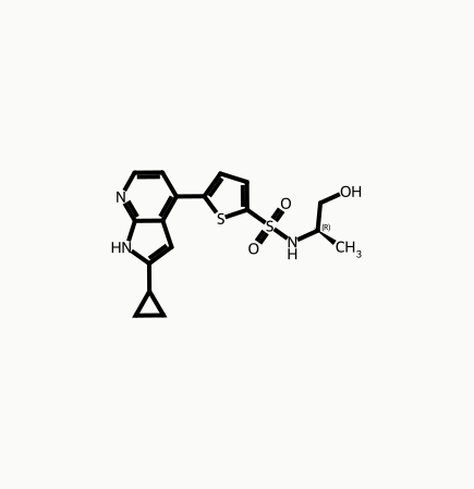 C[C@H](CO)NS(=O)(=O)c1ccc(-c2ccnc3[nH]c(C4CC4)cc23)s1